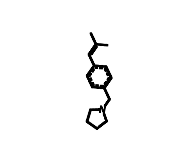 CC(C)=Cc1ccc(CN2CCCC2)cc1